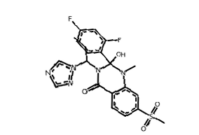 CCC(N1C(=O)c2ccc(S(C)(=O)=O)cc2N(C)C1(O)c1ccc(F)cc1F)n1cncn1